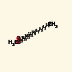 CCCCCCCCCCCCCCCCCCC(=O)OC